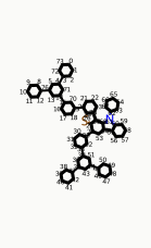 c1ccc(-c2cc(-c3ccccc3)cc(-c3cccc(-c4cccc5c4sc4c(-c6cccc(-c7cc(-c8ccccc8)cc(-c8ccccc8)c7)c6)cc6c7ccccc7n(-c7ccccc7)c6c45)c3)c2)cc1